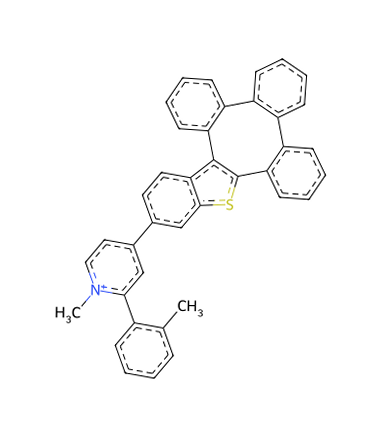 Cc1ccccc1-c1cc(-c2ccc3c4c(sc3c2)-c2ccccc2-c2ccccc2-c2ccccc2-4)cc[n+]1C